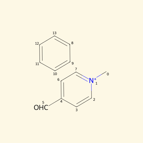 C[n+]1ccc(C=O)cc1.c1ccccc1